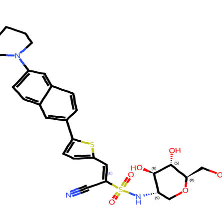 N#C/C(=C\c1ccc(-c2ccc3cc(N4CCCCC4)ccc3c2)s1)S(=O)(=O)N[C@H]1CO[C@H](CO)[C@@H](O)[C@@H]1O